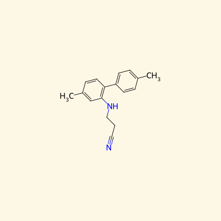 Cc1ccc(-c2ccc(C)cc2NCCC#N)cc1